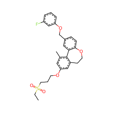 CCS(=O)(=O)CCCOc1cc(C)c2c(c1)CCOc1ccc(COc3cccc(F)c3)cc1-2